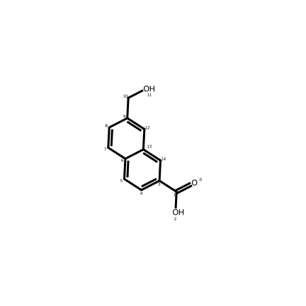 O=C(O)c1ccc2ccc(CO)cc2c1